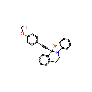 COc1ccc(C#CC2(Br)c3ccccc3CCN2c2ccccc2)cc1